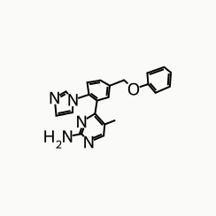 Cc1cnc(N)nc1-c1cc(COc2ccccc2)ccc1-n1ccnc1